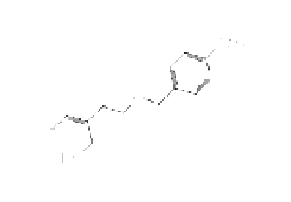 COc1ccc(COCC/C(=C/Cl)CO)cc1